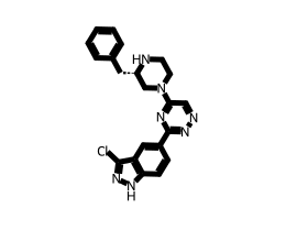 Clc1n[nH]c2ccc(-c3nncc(N4CCN[C@@H](Cc5ccccc5)C4)n3)cc12